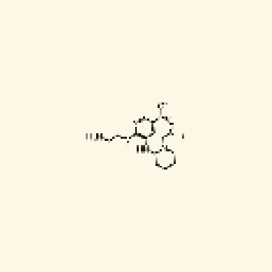 CCN1CCCCC1Nc1cc([N+](=O)[O-])cnc1NCCN